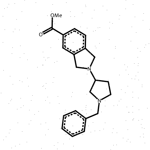 COC(=O)c1ccc2c(c1)CN(C1CCN(Cc3ccccc3)C1)C2